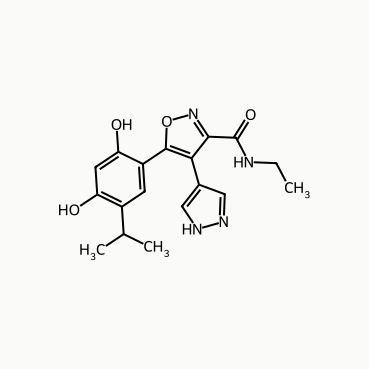 CCNC(=O)c1noc(-c2cc(C(C)C)c(O)cc2O)c1-c1cn[nH]c1